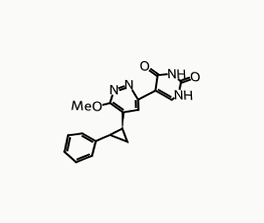 COc1nnc(-c2c[nH]c(=O)[nH]c2=O)cc1[C@H]1CC1c1ccccc1